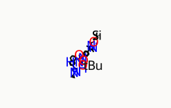 Cc1nn(COCC[Si](C)(C)C)c(C)c1-c1ccc(NC(=O)[C@@H](NC(=O)OC(C)(C)C)C2CCCc3ccc(-c4cnn(C5CC5)c4)cc32)cc1